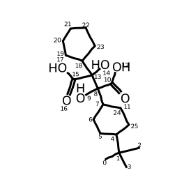 CC(C)(C)C1CCC(C(O)(C(=O)O)C(O)(C(=O)O)C2CCCCC2)CC1